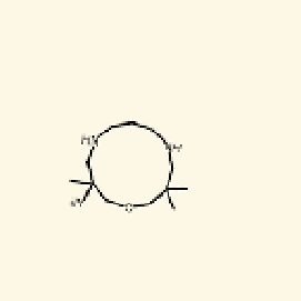 CC(C)C1(C)CNCCCNCC(C)(C)COC1